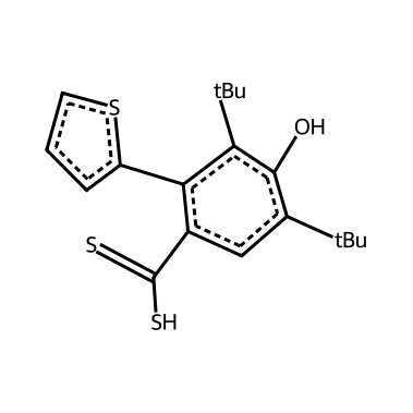 CC(C)(C)c1cc(C(=S)S)c(-c2cccs2)c(C(C)(C)C)c1O